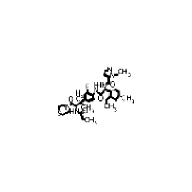 CCC(=O)N[C@@H](C(=O)N1CCSCC1)C(C)(C)c1ccc(NC(=O)[C@@H](NC(=O)c2ccnn2CC)[C@@H]2CC[C@@H](C)CC2CC)c(F)c1